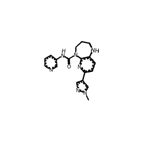 Cn1cc(-c2ccc3c(n2)N(C(=O)Nc2cccnc2)CCCN3)cn1